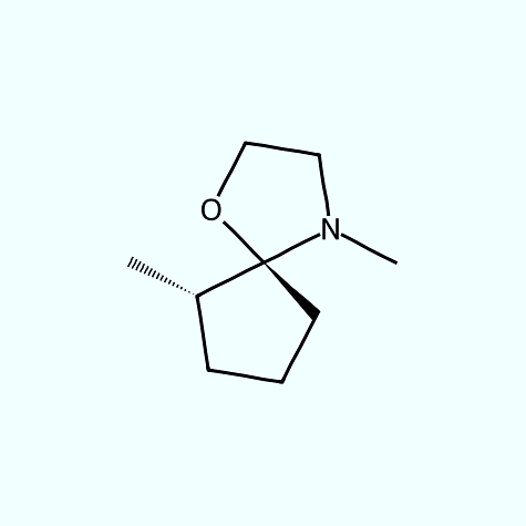 C[C@H]1CCC[C@]12OCCN2C